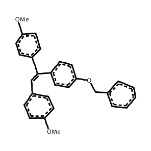 COc1ccc(C=C(c2ccc(OC)cc2)c2ccc(OCc3ccccc3)cc2)cc1